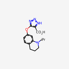 CC(C)N1CCCc2ccc(Oc3nn[nH]c3C(=O)O)cc21